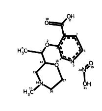 CC(Oc1cnccc1C(=O)O)C1CN(C)CCO1.O=NO